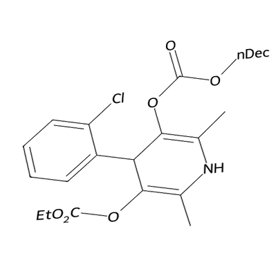 CCCCCCCCCCOC(=O)OC1=C(C)NC(C)=C(OC(=O)OCC)C1c1ccccc1Cl